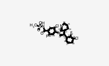 CS(=O)(=O)NC(=O)c1cc(Cl)c(-n2cc(-c3cccc(Cl)c3F)c3cccnc32)cc1F